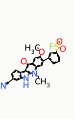 CCn1c2cc(-c3cccc(S(=O)(=O)F)c3)c(OC)cc2c(=O)c2c3ccc(C#N)cc3[nH]c21